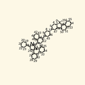 CC1(C)c2ccc(-c3ccc(-c4ccc(-c5nc(-c6ccccc6)cc(-c6ccccc6-c6ccccc6)n5)c5ccccc45)cc3)cc2-c2ccc3ccccc3c21